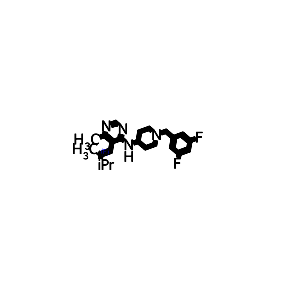 C/C(=C\c1c(C)ncnc1NC1CCN(Cc2cc(F)cc(F)c2)CC1)C(C)C